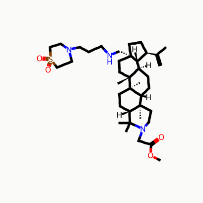 C=C(C)[C@@H]1CC[C@]2(CNCCCN3CCS(=O)(=O)CC3)CC[C@]3(C)[C@H](CC[C@@H]4[C@@]5(C)CCN(CC(=O)OC)C(C)(C)[C@@H]5CC[C@]43C)[C@@H]12